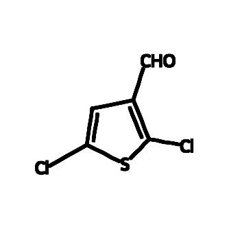 O=Cc1cc(Cl)sc1Cl